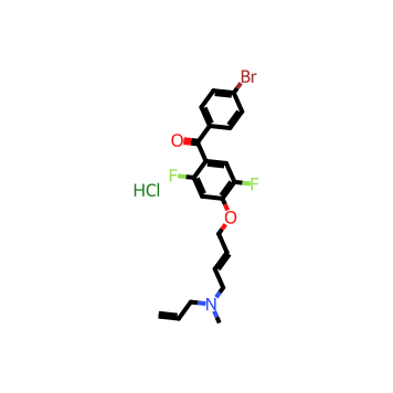 C=CCN(C)C/C=C/COc1cc(F)c(C(=O)c2ccc(Br)cc2)cc1F.Cl